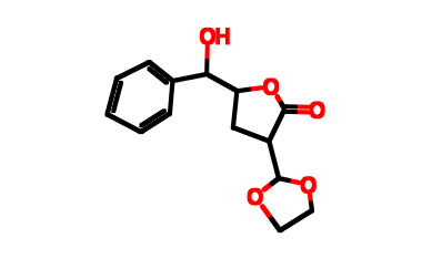 O=C1OC(C(O)c2ccccc2)CC1C1OCCO1